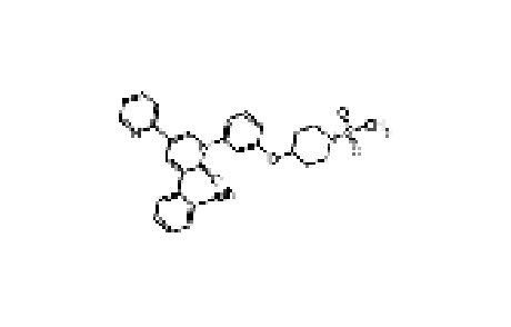 CS(=O)(=O)N1CCC(Oc2cccc(-n3cc(-c4ccccn4)cc(-c4ccccc4C#N)c3=O)c2)CC1